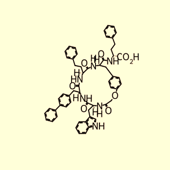 O=C1COc2ccc(cc2)C[C@H](C(=O)N[C@H](CCc2ccccc2)C(=O)O)NC(=O)[C@H](CCc2ccccc2)NC(=O)[C@@H](Cc2ccc(-c3ccccc3)cc2)NC(=O)[C@H](Cc2c[nH]c3ccccc23)N1